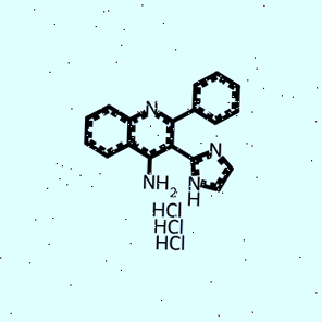 Cl.Cl.Cl.Nc1c(-c2ncc[nH]2)c(-c2ccccc2)nc2ccccc12